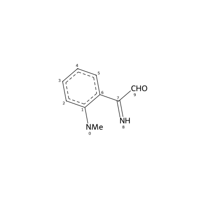 CNc1ccccc1C(=N)C=O